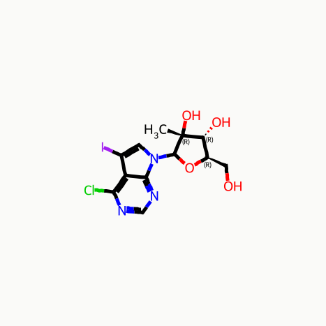 C[C@]1(O)C(n2cc(I)c3c(Cl)ncnc32)O[C@H](CO)[C@H]1O